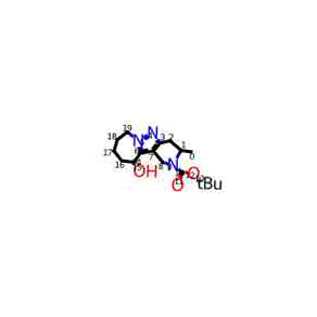 CC1Cc2nn3c(c2CN1C(=O)OC(C)(C)C)C(O)CCCC3